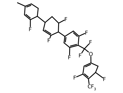 CC1=CCC(C2C=C(F)C(c3cc(F)c(C(F)(F)OC4=CC(F)=C(C(F)(F)F)C(F)C4)c(F)c3)C(F)C2)C(F)=C1